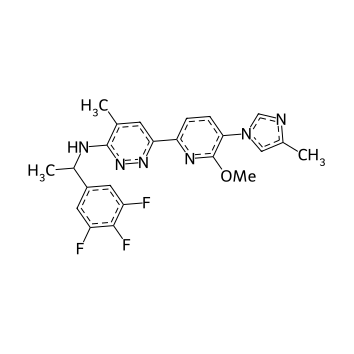 COc1nc(-c2cc(C)c(NC(C)c3cc(F)c(F)c(F)c3)nn2)ccc1-n1cnc(C)c1